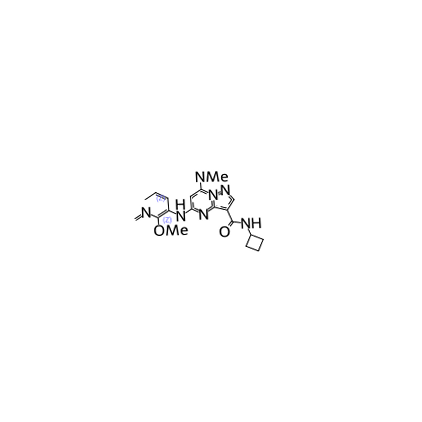 C=N/C(OC)=C(\C=C/C)Nc1cc(NC)n2ncc(C(=O)NC3CCC3)c2n1